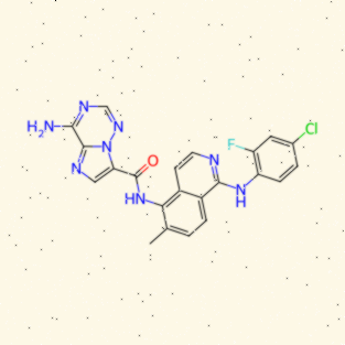 Cc1ccc2c(Nc3ccc(Cl)cc3F)nccc2c1NC(=O)c1cnc2c(N)ncnn12